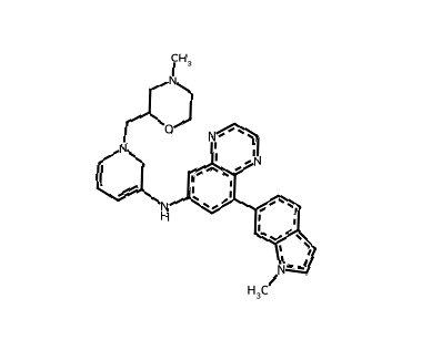 CN1CCOC(CN2C=CC=C(Nc3cc(-c4ccc5ccn(C)c5c4)c4nccnc4c3)C2)C1